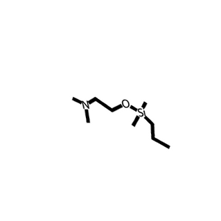 CCC[Si](C)(C)OCCN(C)C